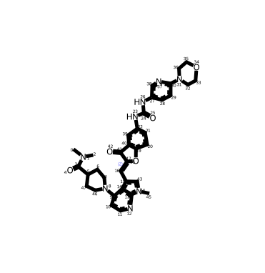 CN(C)C(=O)C1CCN(c2ccnc3c2c(/C=C2\Oc4ccc(NC(=O)Nc5ccc(N6CCOCC6)nc5)cc4C2=O)cn3C)CC1